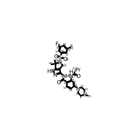 CC(C)C(=O)Nc1cc(N2CCN(C)CC2)ccc1C(=O)Nc1n[nH]c2c1CN(S(=O)(=O)c1cc(F)cc(F)c1)C2(C)C